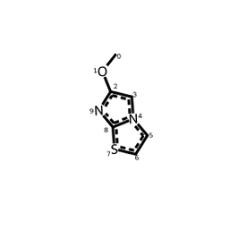 COc1cn2ccsc2n1